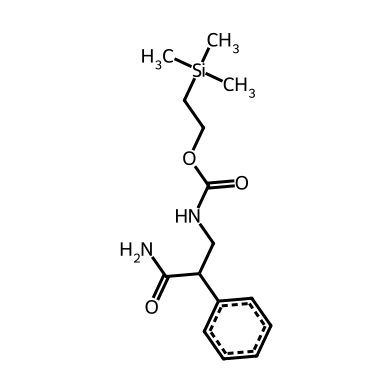 C[Si](C)(C)CCOC(=O)NCC(C(N)=O)c1ccccc1